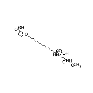 COCCNC(=O)CC[C@H](NC(=O)CCCCCCCCCCCCCCCOc1cccc(C(=O)O)c1)C(=O)O